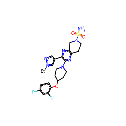 CCn1cc(-c2nc3c(nc2N2CCC(Oc4ccc(F)cc4F)CC2)CCN(S(N)(=O)=O)C3)cn1